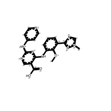 COc1c(Nc2nc(Nc3ccncc3)ncc2C(=O)O)cccc1-c1ncn(C)n1